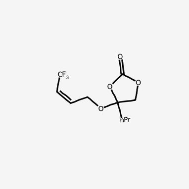 CCCC1(OC/C=C\C(F)(F)F)COC(=O)O1